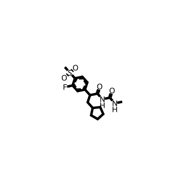 CNC(=O)NC(=O)C(CC1CCCC1)c1ccc(S(C)(=O)=O)c(F)c1